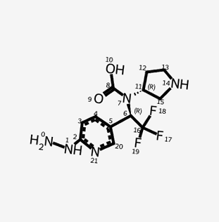 NNc1ccc([C@@H](N(C(=O)O)[C@@H]2CCNC2)C(F)(F)F)cn1